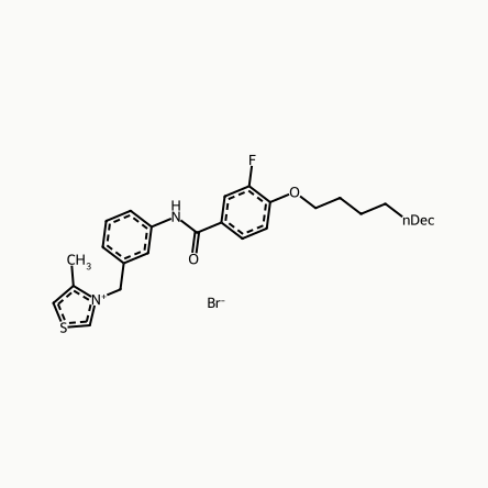 CCCCCCCCCCCCCCOc1ccc(C(=O)Nc2cccc(C[n+]3cscc3C)c2)cc1F.[Br-]